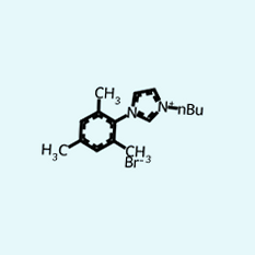 CCCC[n+]1ccn(-c2c(C)cc(C)cc2C)c1.[Br-]